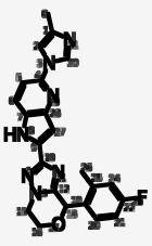 Cc1cn(-c2ccc3[nH]c(-c4nc5n(n4)CCOC5c4ccc(F)cc4C)cc3n2)cn1